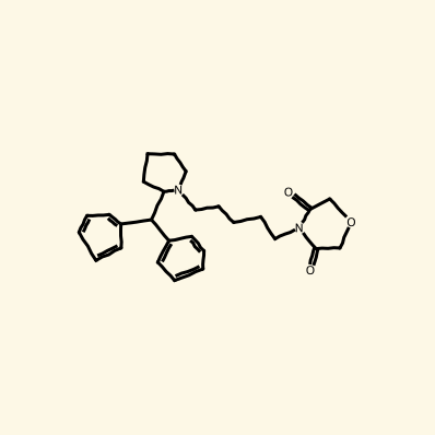 O=C1COCC(=O)N1CCCCCN1CCCCC1C(c1ccccc1)c1ccccc1